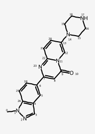 Cn1ncc2cc(-c3cc(=O)n4cc(N5CCNCC5)ccc4n3)ccc21